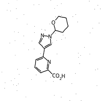 O=C(O)c1cccc(-c2cnn(C3CCCCO3)c2)n1